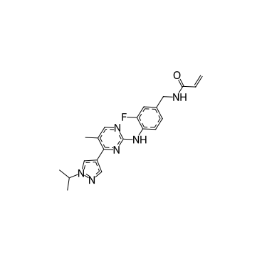 C=CC(=O)NCc1ccc(Nc2ncc(C)c(-c3cnn(C(C)C)c3)n2)c(F)c1